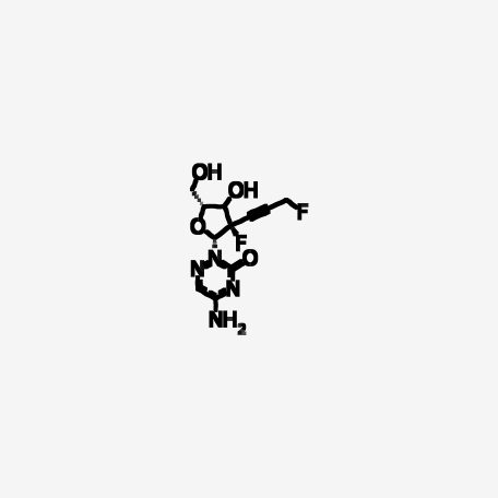 Nc1cnn([C@@H]2O[C@H](CO)C(O)[C@]2(F)C#CCF)c(=O)n1